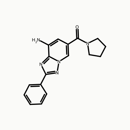 Nc1cc(C(=O)N2CCCC2)cn2nc(-c3ccccc3)nc12